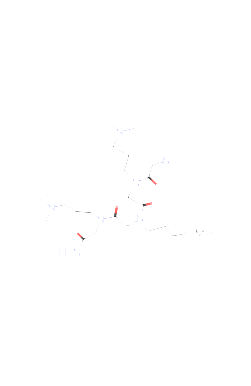 COCCCN(CC(=O)N(CCCN(C)C)CC(N)=O)C(=O)CN(CCCN(C)C)C(=O)CN